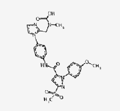 COc1ccc(-n2nc(S(C)(=O)=O)cc2C(=O)Nc2ccc(-n3ccnc3CN(C)C(=O)O)cc2)cc1